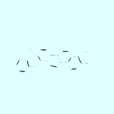 COc1c(CO)ccc2c1C=[N+](C)C1C2C=CC2C(Cc3ccccc3)=C3OCOC3=CC21